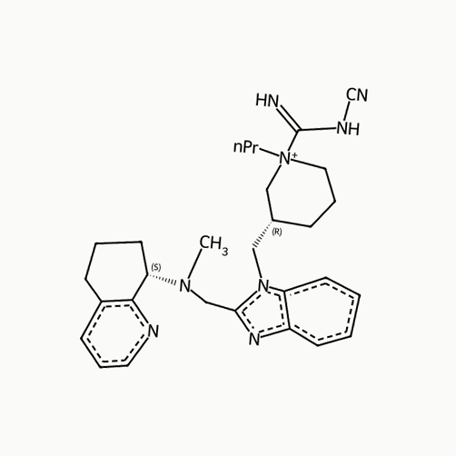 CCC[N+]1(C(=N)NC#N)CCC[C@H](Cn2c(CN(C)[C@H]3CCCc4cccnc43)nc3ccccc32)C1